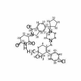 CC1(C)CCC(CN2CCN(C3(c4ccc5c(c4)CN(C4CCC(=O)NC4=O)C5=O)CCCC3)CC2)=C(c2ccc(Cl)cc2)C1